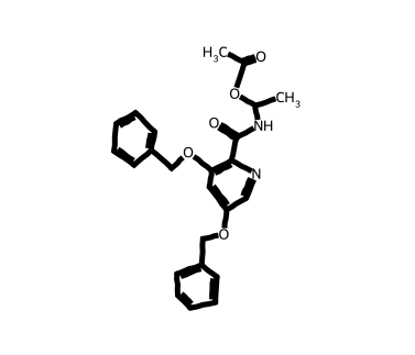 CC(=O)OC(C)NC(=O)c1ncc(OCc2ccccc2)cc1OCc1ccccc1